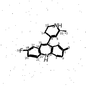 Cc1ccc2c(c1)C(C1=C[C@H](C)NCC1)=Cc1cc(F)ccc1N2